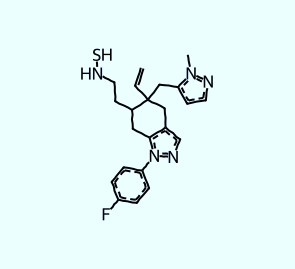 C=CC1(Cc2ccnn2C)Cc2cnn(-c3ccc(F)cc3)c2CC1CCNS